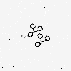 O.c1ccc(C[SH](c2ccccc2)c2ccccc2)cc1.c1ccc(C[SH](c2ccccc2)c2ccccc2)cc1